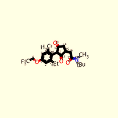 CCc1cc(OCC(F)(F)F)cc(C)c1C1C(=O)CC(CC(=O)N(C)C(C)(C)C)C1=O